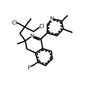 Cc1cc(C2=NC(C)(CC(C)(Cl)CCl)Cc3c(F)cccc32)cnc1C